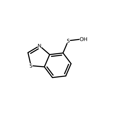 OSc1cccc2scnc12